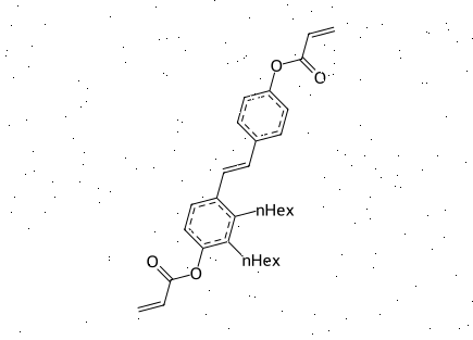 C=CC(=O)Oc1ccc(C=Cc2ccc(OC(=O)C=C)c(CCCCCC)c2CCCCCC)cc1